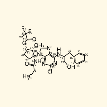 CCC(=O)N[C@]1(n2cnc3c(NC(CO)Cc4ccccc4)nc(Cl)nc32)CC[C@H](OC(=O)C(F)(F)F)[C@@H]1O